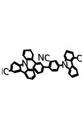 N#Cc1ccc2c(c1)c1ccccc1n2C1=C(c2cccc(-c3ccc(-n4c5ccccc5c5c(C#N)cccc54)cc3C#N)c2)CCC=C1